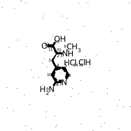 CN[C@@H](Cc1ccnc(N)c1)C(=O)O.Cl.Cl